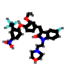 COc1cc(C=C2C(=O)N(CCN3CCOCC3)c3ccc(F)cc32)ccc1Oc1ccc([N+](=O)[O-])cc1C(F)(F)F